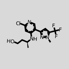 C[C@@H](CCO)Nc1cc(Cl)ncc1-c1cc(C(F)(F)F)n(C)n1